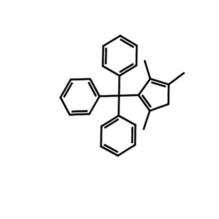 CC1=C(C)C(C(c2ccccc2)(c2ccccc2)c2ccccc2)=C(C)C1